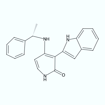 C[C@H](Nc1cc[nH]c(=O)c1-c1cc2ccccc2[nH]1)c1ccccc1